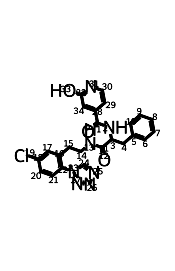 O=C(NC(Cc1ccccc1)C(=O)NCCc1cc(Cl)ccc1-n1cnnn1)c1ccnc(O)c1